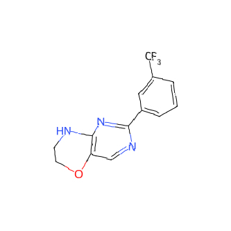 FC(F)(F)c1cccc(-c2ncc3c(n2)NCCO3)c1